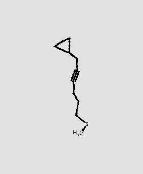 CSCCCC#CCC1[CH]C1